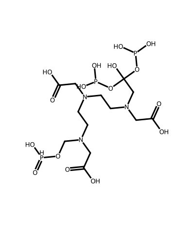 O=C(O)CN(CCN(CO[PH](=O)O)CC(=O)O)CCN(CC(=O)O)CC(O)(OP(O)O)OP(O)O